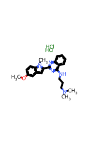 COc1ccc2c(c1)cc(-c1nc(NCCCN(C)C)c3ccccc3n1)n2C.Cl.Cl